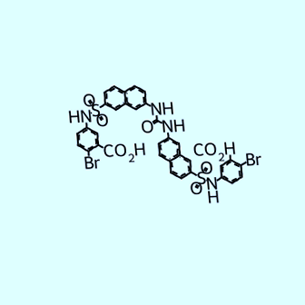 O=C(Nc1ccc2ccc(S(=O)(=O)Nc3ccc(Br)c(C(=O)O)c3)cc2c1)Nc1ccc2ccc(S(=O)(=O)Nc3ccc(Br)c(C(=O)O)c3)cc2c1